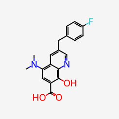 CN(C)c1cc(C(=O)O)c(O)c2ncc(Cc3ccc(F)cc3)cc12